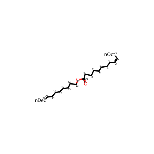 CCCCCCCC/C=C\CCCCCCCC(=O)OCCCCCCCCCCCCCCCCCC